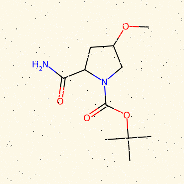 COC1CC(C(N)=O)N(C(=O)OC(C)(C)C)C1